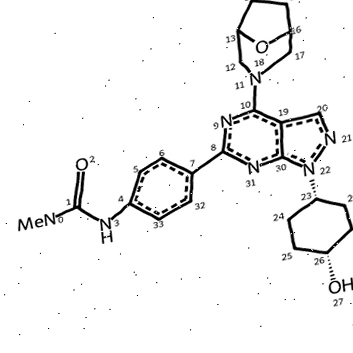 CNC(=O)Nc1ccc(-c2nc(N3CC4CCC(C3)O4)c3cnn([C@H]4CC[C@@H](O)CC4)c3n2)cc1